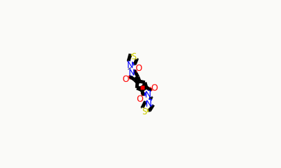 O=C1C2C3C=CC(C2C(=O)N1CN1CCSCC1)C1C2C(=O)N(CN4CCSCC4)C(=O)C2C31